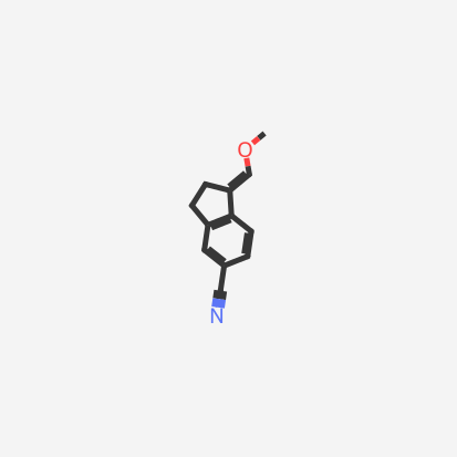 COC=C1CCc2cc(C#N)ccc21